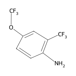 Nc1ccc(OC(F)(F)F)cc1C(F)(F)F